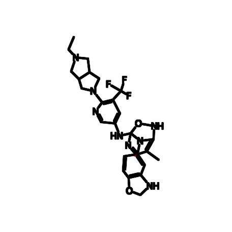 CCN1CC2CN(c3ncc(NC45N=CC(C)=C(NO4)N5c4ccc5c(c4)NCO5)cc3C(F)(F)F)CC2C1